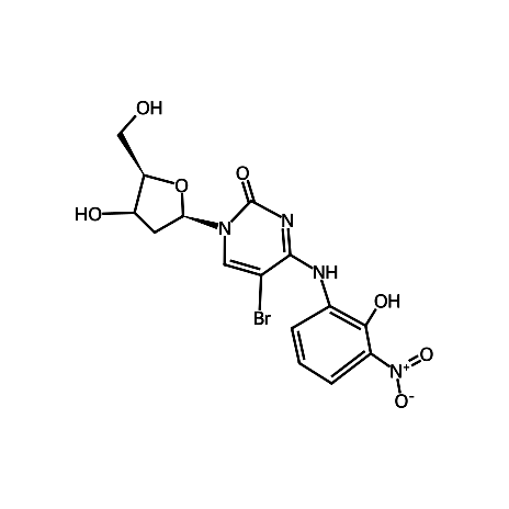 O=c1nc(Nc2cccc([N+](=O)[O-])c2O)c(Br)cn1[C@H]1CC(O)[C@@H](CO)O1